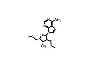 CCSC1C(n2cnc3c(N)ncnc32)O[C@H](CSC)[C@H]1O